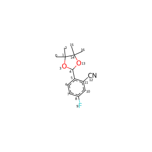 CC1(C)OC(c2ccc(F)cc2C#N)OC1(C)C